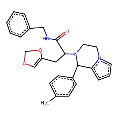 Cc1ccc(C2c3cccn3CCN2C(CC2=COCO2)C(=O)NCc2ccccc2)cc1